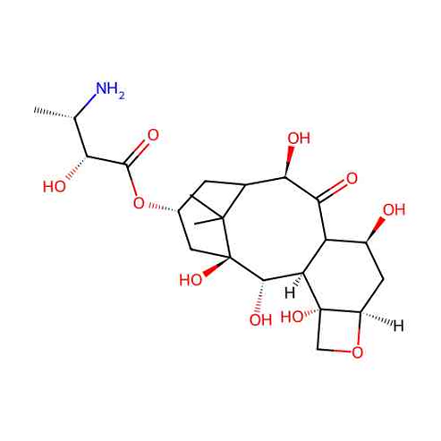 C[C@H](N)[C@@H](O)C(=O)O[C@@H]1CC2[C@@H](O)C(=O)C3[C@H]([C@H](O)[C@](O)(C1)C2(C)C)[C@]1(O)CO[C@@H]1C[C@@H]3O